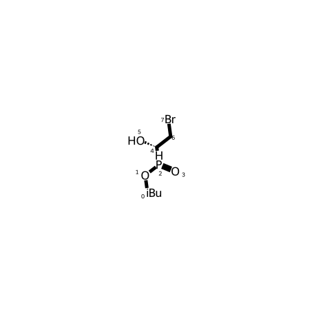 CCC(C)O[PH](=O)[C@H](O)CBr